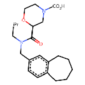 CC(C)CN(Cc1ccc2c(c1)CCCCC2)C(=O)C1CN(C(=O)O)CCO1